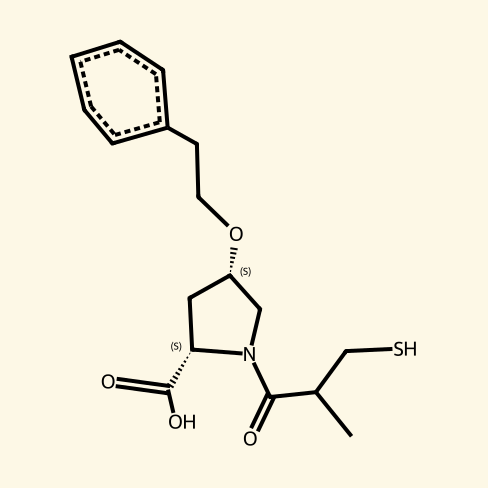 CC(CS)C(=O)N1C[C@@H](OCCc2ccccc2)C[C@H]1C(=O)O